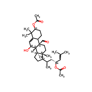 CC(=O)O[C@H]1CCC2C(=C[C@H](O)[C@@H]3[C@@]2(C=O)CC[C@]2(C)C(C(C)C[C@H](C=C(C)C)OC(C)=O)CC[C@@]32C)C1(C)C